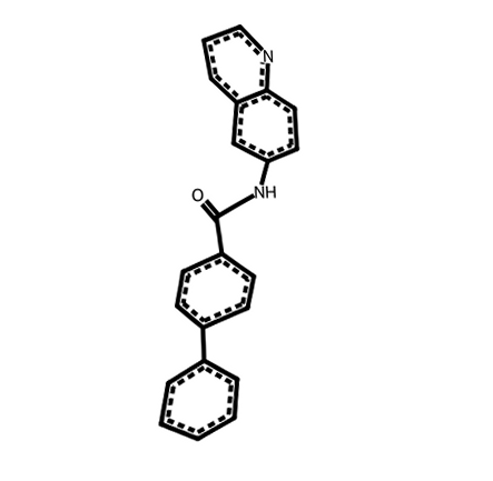 O=C(Nc1ccc2ncccc2c1)c1ccc(-c2ccccc2)cc1